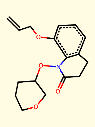 C=CCOc1cccc2c1N(OC1CCCOC1)C(=O)CC2